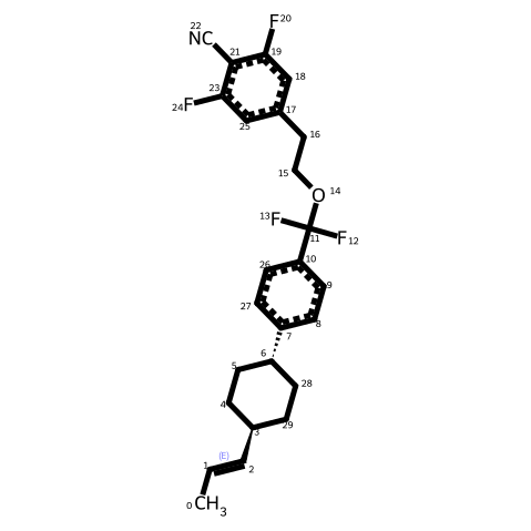 C/C=C/[C@H]1CC[C@H](c2ccc(C(F)(F)OCCc3cc(F)c(C#N)c(F)c3)cc2)CC1